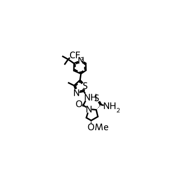 CO[C@H]1C[C@@H](C(N)=S)N(C(=O)Nc2nc(C)c(-c3ccnc(C(C)(C)C(F)(F)F)c3)s2)C1